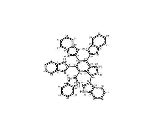 c1ccc2[nH]c(-c3c(-c4cc5ccccc5s4)c(-c4cc5ccccc5o4)c4[nH]nc(-c5n[nH]c6ccccc56)c4c3-c3nc4ccccc4[nH]3)cc2c1